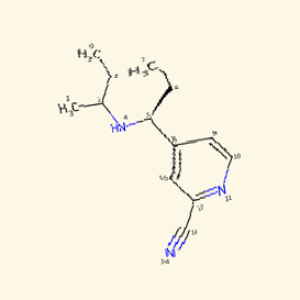 CCC(C)N[C@@H](CC)c1ccnc(C#N)c1